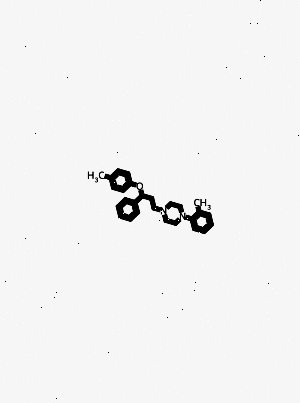 Cc1ccc(OC(CCN2CCN(c3ccccc3C)CC2)c2ccccc2)cc1